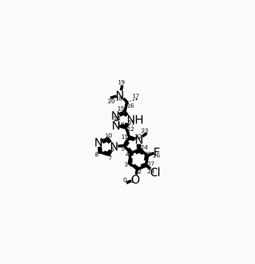 COc1cc2c(-n3ccnc3)c(-c3nnc([C@@H](C)N(C)C)[nH]3)n(C)c2c(F)c1Cl